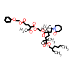 CCCCC(CC)COC(=O)C(C)(CC)CCC(C)(CC(C)N1CCCCCC1=O)C(=O)OCCOC(=O)C(CCC(=O)OCCOc1ccccc1)C(C)=O